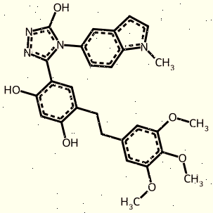 COc1cc(CCc2cc(-c3nnc(O)n3-c3ccc4c(ccn4C)c3)c(O)cc2O)cc(OC)c1OC